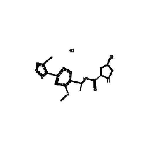 COc1cc(-c2scnc2C)ccc1C(C)NC(=O)[C@@H]1C[C@@H](O)CN1.Cl